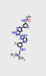 CCCC(=O)Nc1cncc(-c2cnc3[nH]nc(-c4nc5c(-c6cc(F)cc(NCCN(C)C)c6)nccc5[nH]4)c3c2)c1